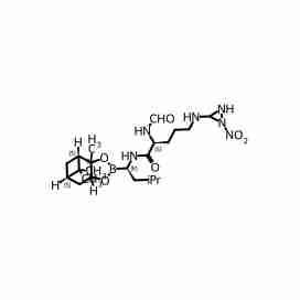 CC(C)C[C@H](NC(=O)[C@H](CCCNC1NN1[N+](=O)[O-])NC=O)B1O[C@@H]2C[C@@H]3C[C@@H](C3(C)C)[C@]2(C)O1